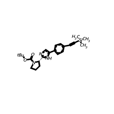 CC(C)(C)OC(=O)N1CCC[C@H]1c1ncc(-c2ccc(C#C[Si](C)(C)C)cc2)[nH]1